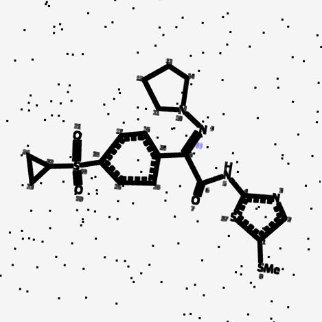 CSc1cnc(NC(=O)/C(=N/N2CCCC2)c2ccc(S(=O)(=O)C3CC3)cc2)s1